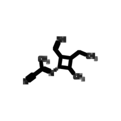 CCC1C(C)[C@H](/N=C(\C)C#N)C1C=N